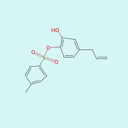 C=CCc1ccc(OS(=O)(=O)c2ccc(C)cc2)c(O)c1